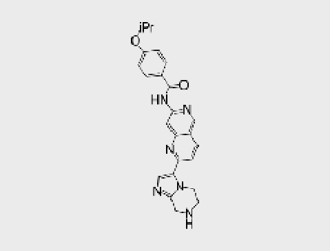 CC(C)Oc1ccc(C(=O)Nc2cc3nc(-c4cnc5n4CCNC5)ccc3cn2)cc1